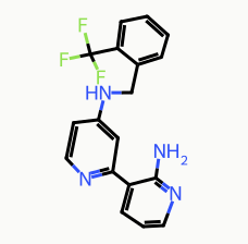 Nc1ncccc1-c1cc(NCc2ccccc2C(F)(F)F)ccn1